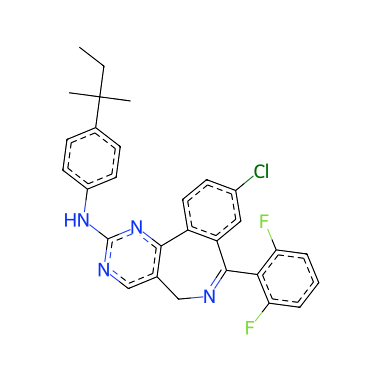 CCC(C)(C)c1ccc(Nc2ncc3c(n2)-c2ccc(Cl)cc2C(c2c(F)cccc2F)=NC3)cc1